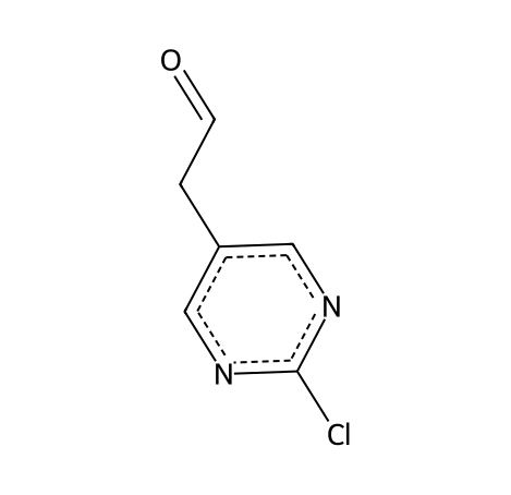 O=CCc1cnc(Cl)nc1